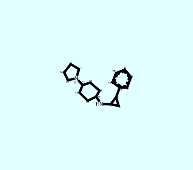 c1ccc(C2CC2NC2CCC(N3CCCC3)CC2)cc1